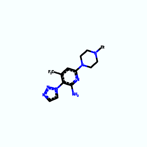 CCN1CCN(c2cc(C(F)(F)F)c(-n3ccnn3)c(N)n2)CC1